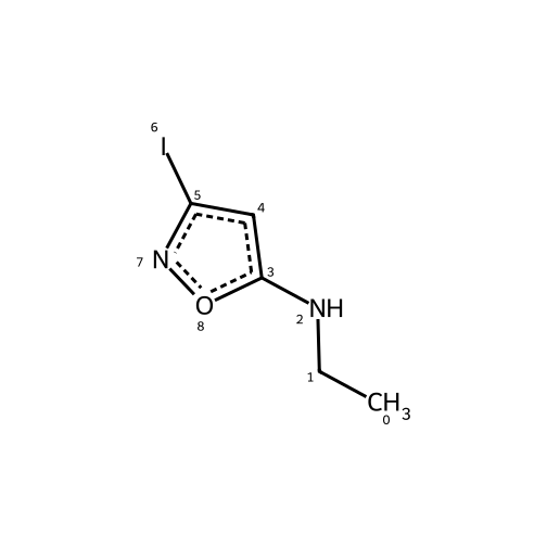 CCNc1cc(I)no1